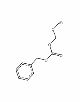 CC(C)OCOC(=O)OCc1ccccc1